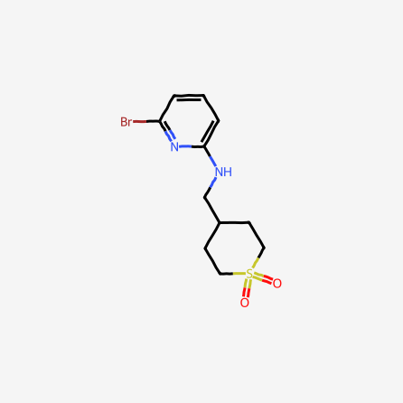 O=S1(=O)CCC(CNc2cccc(Br)n2)CC1